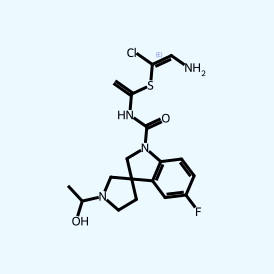 C=C(NC(=O)N1CC2(CCN(C(C)O)C2)c2cc(F)ccc21)S/C(Cl)=C\N